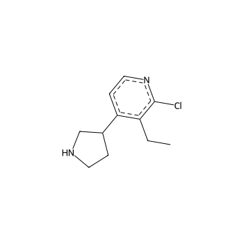 CCc1c(C2CCNC2)ccnc1Cl